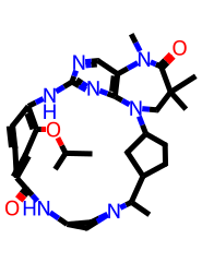 CC(C)Oc1cc2ccc1Nc1ncc3c(n1)N(CC(C)(C)C(=O)N3C)C1CCC(C1)C(C)N1CC(C1)NC2=O